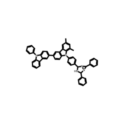 Cc1cc(C)c2c(c1)c1cc(-c3ccc4c(c3)c3ccccc3n4-c3ccccc3)ccc1n2-c1ccc(C2NC(c3ccccc3)N3C(c4ccccc4)N23)cc1